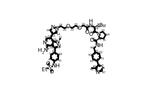 CCS(=O)(=O)Nc1ccc(-c2nn(C)c3c(-c4cnn(CCOCCOCC(=O)N[C@H](C(=O)N5CCC[C@H]5C(=O)NCc5ccc(-c6scnc6C)cc5)C(C)(C)C)c4)cnc(N)c23)cc1